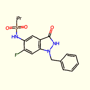 CC(C)S(=O)(=O)Nc1cc2c(=O)[nH]n(Cc3ccccc3)c2cc1F